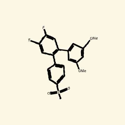 COc1cc(OC)cc(-c2cc(F)c(F)cc2-c2ccc(S(C)(=O)=O)cc2)c1